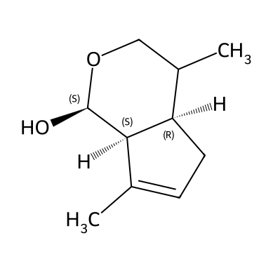 CC1=CC[C@@H]2C(C)CO[C@H](O)[C@H]12